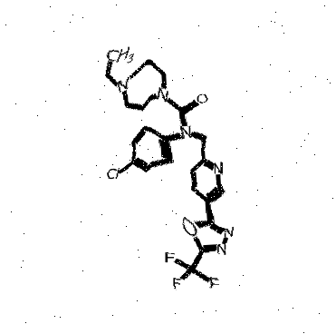 CCN1CCN(C(=O)N(Cc2ccc(-c3nnc(C(F)(F)F)o3)cn2)c2ccc(Cl)cc2)CC1